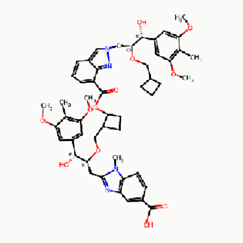 COc1cc([C@@H](O)[C@H](Cc2nc3cc(C(=O)O)ccc3n2C)OCC2CCC2OC(=O)c2cccc3cn(C[C@H](OCC4CCC4)[C@H](O)c4cc(OC)c(C)c(OC)c4)nc23)cc(OC)c1C